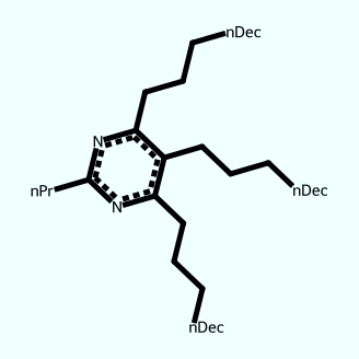 [CH2]CCc1nc(CCCCCCCCCCCCC)c(CCCCCCCCCCCCC)c(CCCCCCCCCCCCC)n1